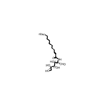 CCCCCCCCCCCCCCCCCC=CC(=O)N[C@@H](C=O)[C@@H](O)[C@H](O)[C@H](O)CO